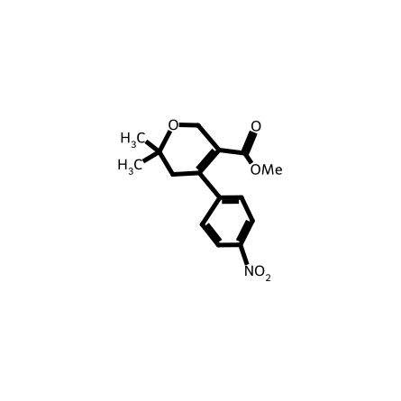 COC(=O)C1=C(c2ccc([N+](=O)[O-])cc2)CC(C)(C)OC1